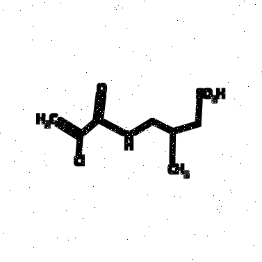 C=C(Cl)C(=O)NCC(C)CS(=O)(=O)O